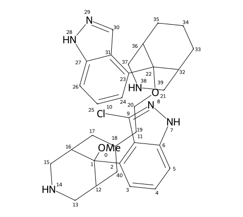 COC1(c2cccc3[nH]nc(Cl)c23)C2CNCC1CC(CCOC1(c3cccc4[nH]ncc34)C3CCCC1CNC3)C2